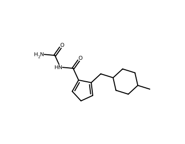 CC1CCC(CC2=CCC=C2C(=O)NC(N)=O)CC1